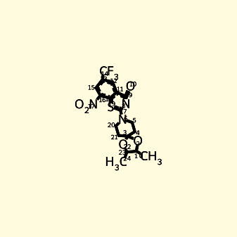 CC1OC2(CCN(c3nc(=O)c4cc(C(F)(F)F)cc([N+](=O)[O-])c4s3)CC2)OC1C